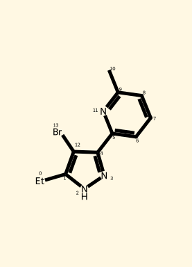 CCc1[nH]nc(-c2cccc(C)n2)c1Br